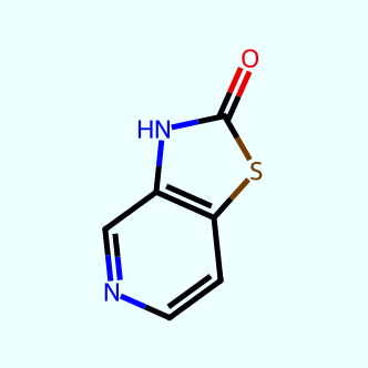 O=c1[nH]c2cnccc2s1